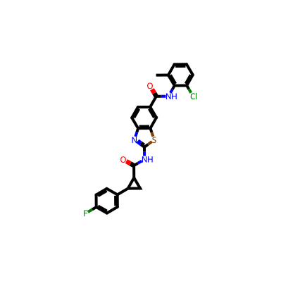 Cc1cccc(Cl)c1NC(=O)c1ccc2nc(NC(=O)C3CC3c3ccc(F)cc3)sc2c1